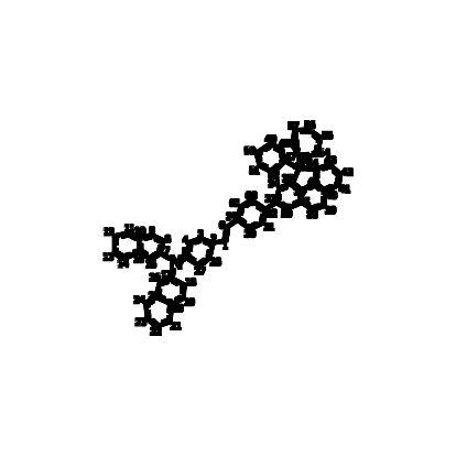 C(=C\c1ccc(N(c2ccc3ccccc3c2)c2ccc3ccccc3c2)cc1)/c1ccc(-c2cc3c4c(ccc5cccc(c54)C3(c3ccccc3)c3ccccc3)c2)cc1